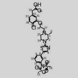 C[C@H]1CN(c2ncc(-c3cccc(N(S(C)(=O)=O)S(C)(=O)=O)c3)s2)CCN1CCOc1cc(CC(=O)O)ccc1Cl